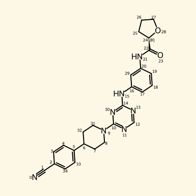 N#Cc1ccc(C2CCN(c3ncnc(Nc4cccc(NC(=O)[C@H]5CCCO5)c4)n3)CC2)cc1